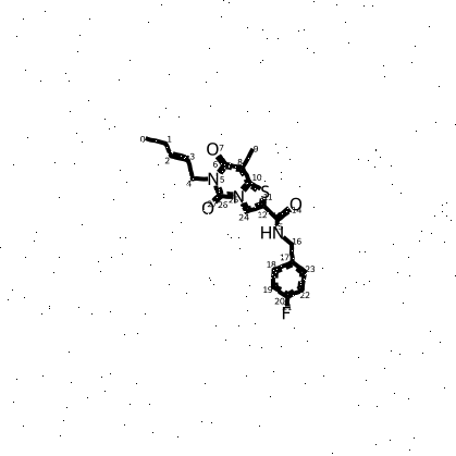 CCC=CCn1c(=O)c(C)c2sc(C(=O)NCc3ccc(F)cc3)cn2c1=O